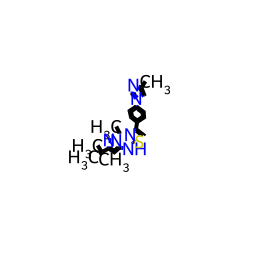 CCn1nc(C(C)(C)C)cc1Nc1nc(-c2ccc(-n3cnc(C)c3)cc2)cs1